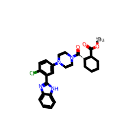 CC(C)(C)OC(=O)C1CCCC[C@@H]1C(=O)N1CCN(c2ccc(Cl)c(-c3nc4ccccc4[nH]3)c2)CC1